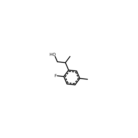 C[C](CO)c1cc(C)ccc1F